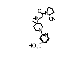 CC1(NCC(=O)N2CCCC2C#N)CCN(c2cc(C(=O)O)ccn2)CC1